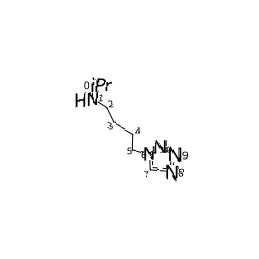 CC(C)NCCCCn1cnnn1